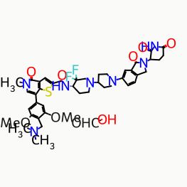 COc1cc(-c2cn(C)c(=O)c3cc(C(=O)N[C@H]4CCN(C5CCN(c6ccc7c(c6)C(=O)N(C6CCC(=O)NC6=O)C7)CC5)CC4(F)F)sc23)cc(OC)c1CN(C)C.O=CO